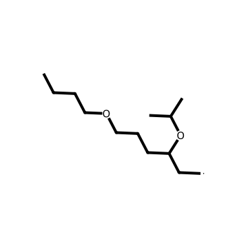 [CH2]CC(CCCOCCCC)OC(C)C